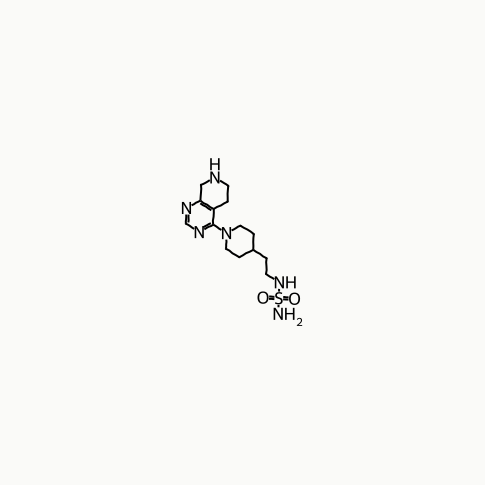 NS(=O)(=O)NCCC1CCN(c2ncnc3c2CCNC3)CC1